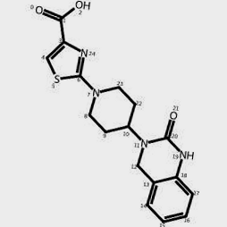 O=C(O)c1csc(N2CCC(N3Cc4ccccc4NC3=O)CC2)n1